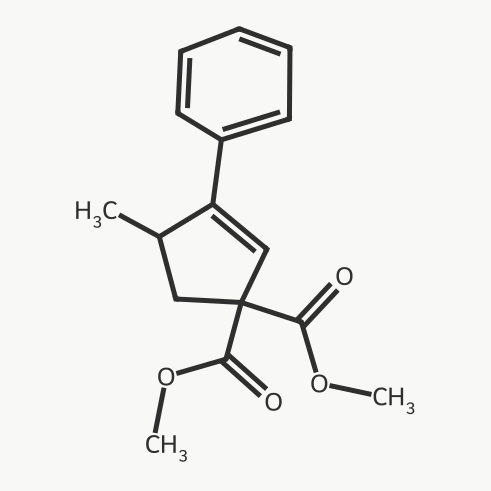 COC(=O)C1(C(=O)OC)C=C(c2ccccc2)C(C)C1